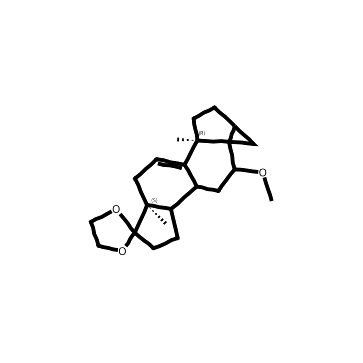 COC1CC2C(=CC[C@@]3(C)C2CCC32OCCO2)[C@@]2(C)CCC3CC312